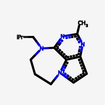 Cc1nc2c3c(ccn3CCCN2CC(C)C)n1